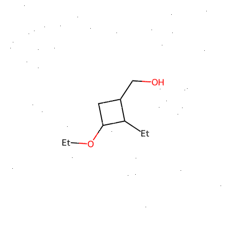 CCOC1CC(CO)C1CC